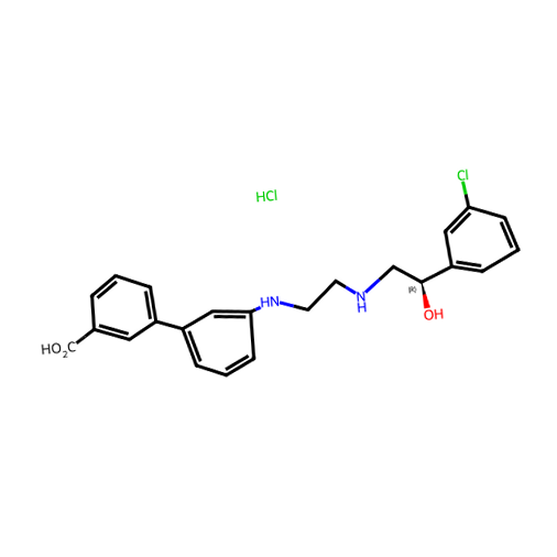 Cl.O=C(O)c1cccc(-c2cccc(NCCNC[C@H](O)c3cccc(Cl)c3)c2)c1